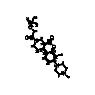 Cc1c(N2CCN(C)CC2)ccc2c3c(c(=O)oc12)CN(C(=O)COC(C)(C)C)CC3